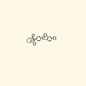 O=C1C2=CC(CCC2)C(=O)N1c1ccc(OCc2ccc(Cl)cc2Cl)cc1